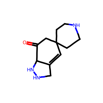 O=C1CC2(C=C3CNNC13)CCNCC2